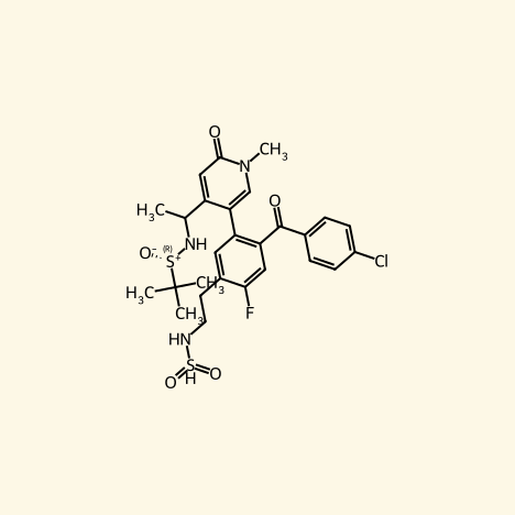 CC(N[S@@+]([O-])C(C)(C)C)c1cc(=O)n(C)cc1-c1cc(CCN[SH](=O)=O)c(F)cc1C(=O)c1ccc(Cl)cc1